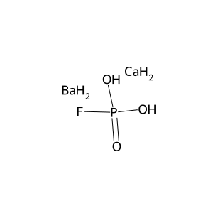 O=P(O)(O)F.[BaH2].[CaH2]